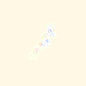 CC(=O)c1ccc(OCCCC(=O)NCCn2cc(-c3cc(-c4c[nH]nc4-c4cccc(C)n4)ccc3F)cn2)cc1